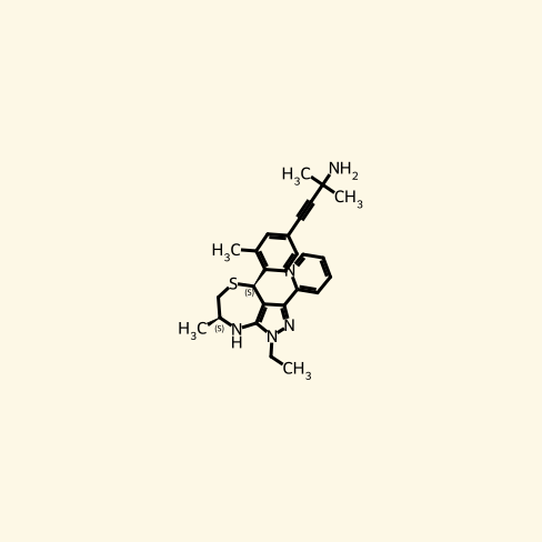 CCn1nc(-c2ccccn2)c2c1N[C@@H](C)CS[C@H]2c1ccc(C#CC(C)(C)N)cc1C